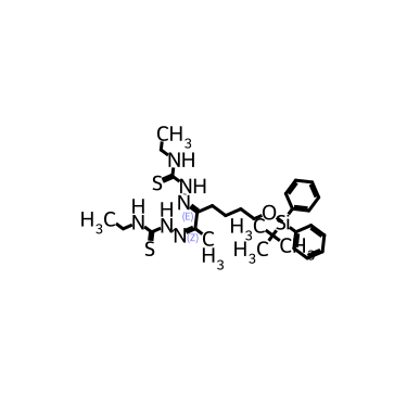 CCNC(=S)N/N=C(C)\C(CCCCO[Si](c1ccccc1)(c1ccccc1)C(C)(C)C)=N\NC(=S)NCC